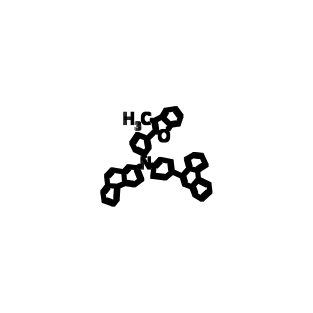 Cc1c(-c2cccc(N(c3ccc(-c4cc5ccccc5c5ccccc45)cc3)c3ccc4c(ccc5ccccc54)c3)c2)oc2ccccc12